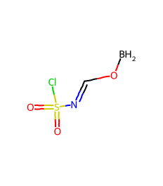 BOC=NS(=O)(=O)Cl